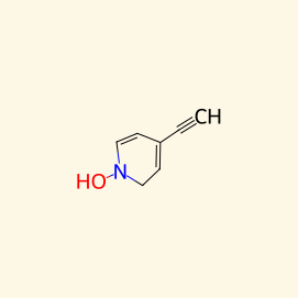 C#CC1=CCN(O)C=C1